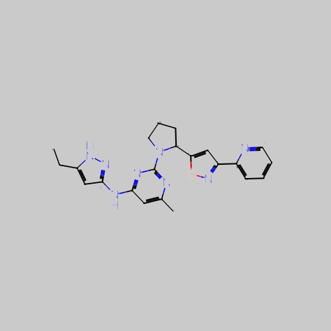 CCc1cc(Nc2cc(C)nc(N3CCCC3c3cc(-c4ccccn4)no3)n2)n[nH]1